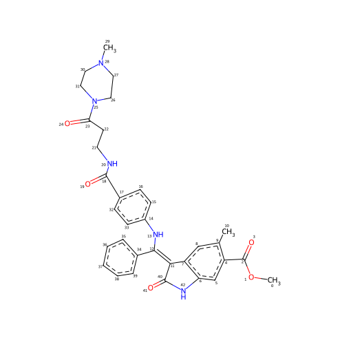 COC(=O)c1cc2c(cc1C)C(=C(Nc1ccc(C(=O)NCCC(=O)N3CCN(C)CC3)cc1)c1ccccc1)C(=O)N2